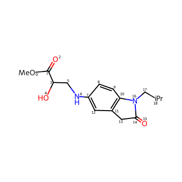 COC(=O)C(O)CNc1ccc2c(c1)CC(=O)N2CC(C)C